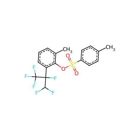 Cc1ccc(S(=O)(=O)Oc2c(C)cccc2C(F)(C(F)F)C(F)(F)F)cc1